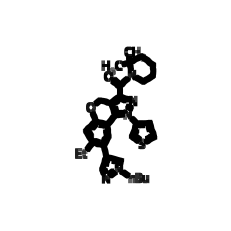 CCCCn1cc(-c2cc3c(cc2CC)OCc2c(C(=O)N4CCCCC4(C)C)nn(-c4ccsc4)c2-3)cn1